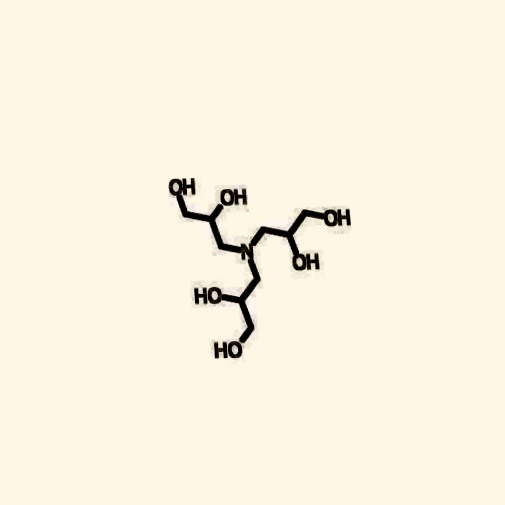 OCC(O)CN(CC(O)CO)CC(O)CO